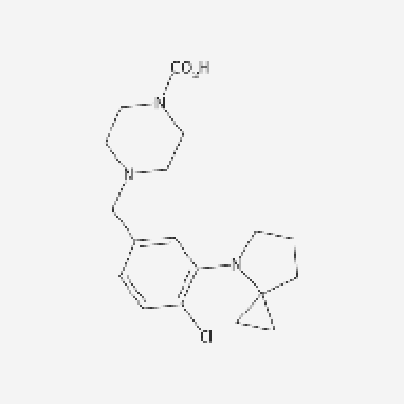 O=C(O)N1CCN(Cc2ccc(Cl)c(N3CCCC34CC4)c2)CC1